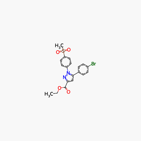 CCOC(=O)c1cc(-c2ccc(Br)cc2)n(-c2ccc(S(C)(=O)=O)cc2)n1